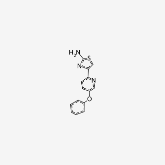 Nc1nc(-c2ccc(Oc3ccccc3)cn2)cs1